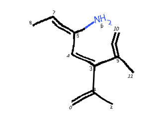 C=C(C)C(=C/C(N)=C\C)C(=C)C